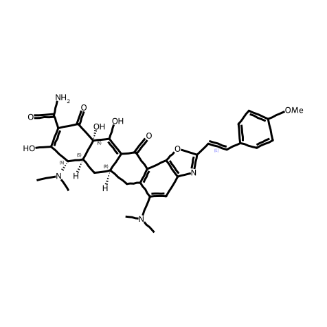 COc1ccc(/C=C/c2nc3cc(N(C)C)c4c(c3o2)C(=O)C2=C(O)[C@]3(O)C(=O)C(C(N)=O)=C(O)[C@@H](N(C)C)[C@@H]3C[C@@H]2C4)cc1